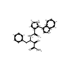 NC(=O)C(=O)C(Cc1ccccc1)NC(=O)c1cn[nH]c1-c1csc2ccccc12